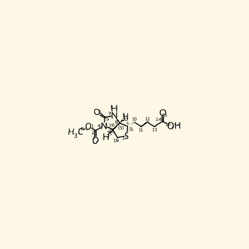 COC(=O)N1C(=O)N[C@@H]2[C@H](CCCCC(=O)O)SC[C@@H]21